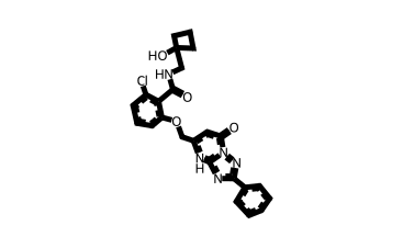 O=C(NCC1(O)CCC1)c1c(Cl)cccc1OCc1cc(=O)n2nc(-c3ccccc3)nc2[nH]1